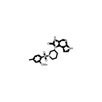 COc1cc(C)ccc1S(=O)(=O)N1CCC[C@@H](n2c(=O)[nH]c3cnc4[nH]ccc4c32)C1